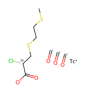 CSCCSC[C@@H](Cl)C(=O)[O-].[C]=O.[C]=O.[C]=O.[Tc+]